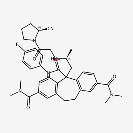 C[C@@H](CC1(C(=N)Nc2ccc(F)cc2)c2ccc(C(=O)N(C)C)cc2CCc2cc(C(=O)N(C)C)ccc21)NCC(=O)N1CCC[C@H]1C#N